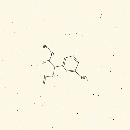 C=NOC(C(=O)OC(C)(C)C)c1cccc([N+](=O)[O-])c1